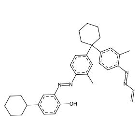 C=C/N=N/c1ccc(C2(c3ccc(/N=N/c4cc(C5CCCCC5)ccc4O)c(C)c3)CCCCC2)cc1C